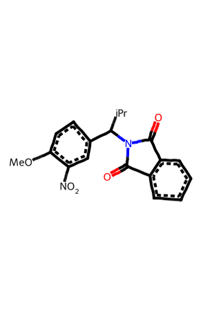 COc1ccc(C(C(C)C)N2C(=O)c3ccccc3C2=O)cc1[N+](=O)[O-]